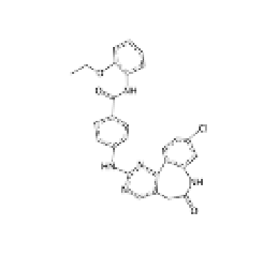 CCOc1ccccc1NC(=O)c1ccc(Nc2ncc3c(n2)-c2ccc(Cl)cc2NC(=O)C3)cc1